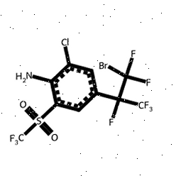 Nc1c(Cl)cc(C(F)(C(F)(F)F)C(F)(F)Br)cc1S(=O)(=O)C(F)(F)F